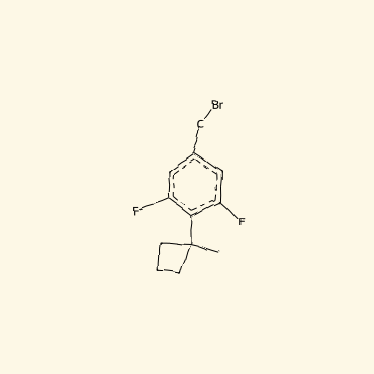 CC1(c2c(F)cc(CBr)cc2F)CCC1